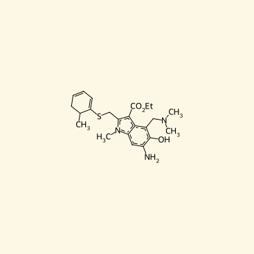 CCOC(=O)c1c(CSC2=CC=CCC2C)n(C)c2cc(N)c(O)c(CN(C)C)c12